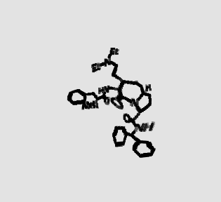 CCN(CC)CC[C@H]1CC[C@H]2CC[C@@H](C(=O)NC(c3ccccc3)c3ccccc3)N2C(=O)[C@H]1NC(=O)[C@@H](Cc1ccccc1)NC